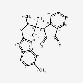 Cc1ccc2oc(CC(C)C(C)(C)N3C(=O)C(=O)c4ccccc43)cc2c1